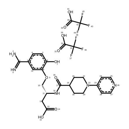 N=C(N)c1ccc(O)c(OC[C@@H](CC(=O)O)NC(=O)C2CCN(c3ccncc3)CC2)c1.O=C(O)C(F)(F)F.O=C(O)C(F)(F)F